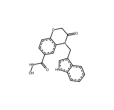 O=C(NO)c1ccc2c(c1)N(Cc1c[nH]c3ccccc13)C(=O)CO2